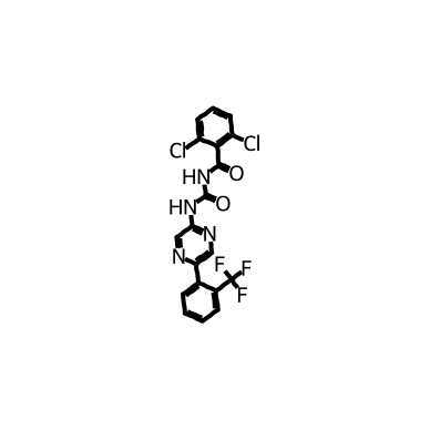 O=C(NC(=O)c1c(Cl)cccc1Cl)Nc1cnc(-c2ccccc2C(F)(F)F)cn1